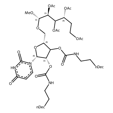 CCCCCCCCCCCCNC(=O)OC1[C@@H](CO[C@H](OC)[C@@H](OC(C)=O)C(OC(C)=O)[C@@H](CCOC(C)=O)OC(C)=O)O[C@@H](n2ccc(=O)[nH]c2=O)[C@H]1OC(=O)NCCCCCCCCCCCC